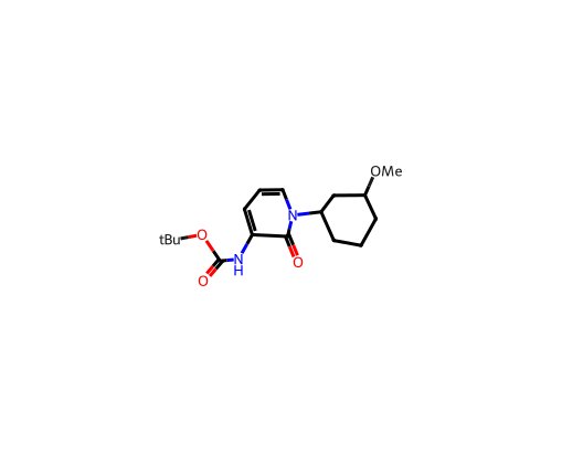 COC1CCCC(n2cccc(NC(=O)OC(C)(C)C)c2=O)C1